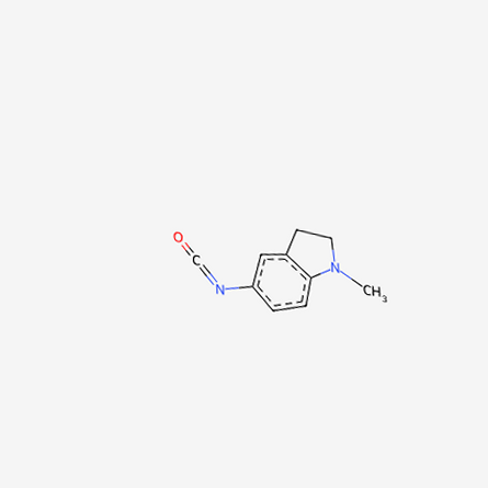 CN1CCc2cc(N=C=O)ccc21